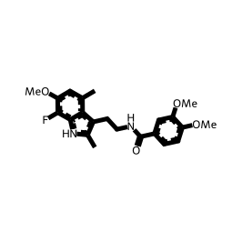 COc1ccc(C(=O)NCCc2c(C)[nH]c3c(F)c(OC)cc(C)c23)cc1OC